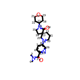 CN(C)C(=O)c1ccc(N2CCC[C@]3(CCN(C4CCOCC4)C3=O)C2)cn1